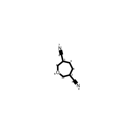 N#CC1CCC(C#N)COC1